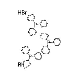 Br.[Rh].c1ccc(P(c2ccccc2)c2ccccc2)cc1.c1ccc(P(c2ccccc2)c2ccccc2)cc1.c1ccc(P(c2ccccc2)c2ccccc2)cc1